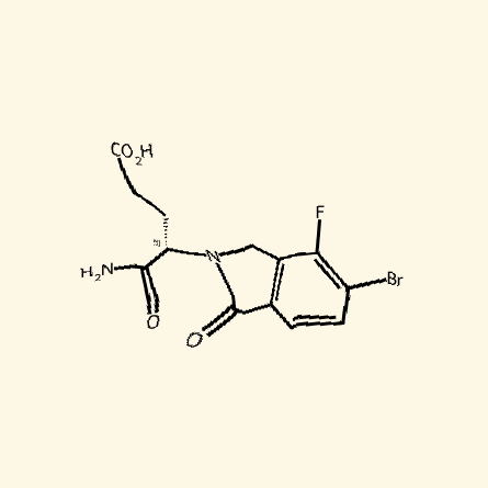 NC(=O)[C@H](CCC(=O)O)N1Cc2c(ccc(Br)c2F)C1=O